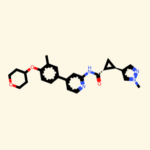 Cc1cc(-c2ccnc(NC(=O)[C@@H]3C[C@H]3c3cnn(C)c3)c2)ccc1OC1CCOCC1